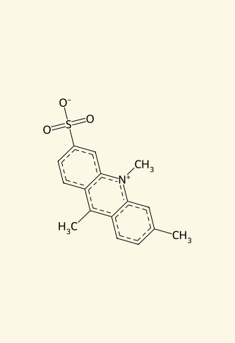 Cc1ccc2c(C)c3ccc(S(=O)(=O)[O-])cc3[n+](C)c2c1